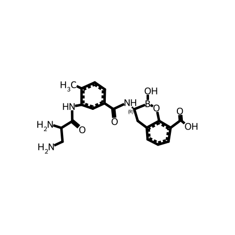 Cc1ccc(C(=O)N[C@H]2Cc3cccc(C(=O)O)c3OB2O)cc1NC(=O)C(N)CN